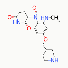 CNc1cc(OCC2CCNCC2)ccc1N(C=O)C1CCC(=O)NC1=O